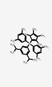 CC1=C(C)C(C)C([Si](c2cc(C)cc(C)c2)(c2cc(C)cc(C)c2)c2cc(C(C)C)cc(C(C)C)c2)=C1C